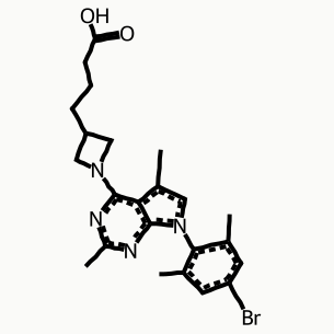 Cc1nc(N2CC(CCCC(=O)O)C2)c2c(C)cn(-c3c(C)cc(Br)cc3C)c2n1